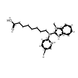 Cn1c(N(CCCCCCCC(=O)O)c2ccc(F)cn2)nc2ccccc21